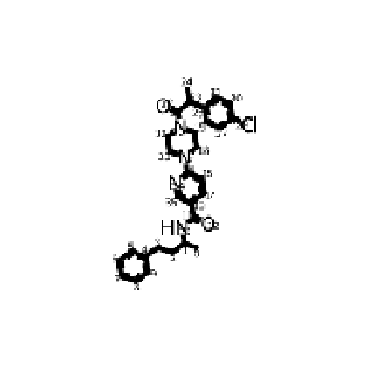 CC(CCc1ccccc1)NC(=O)c1ccc(N2CCN(C(=O)C(C)c3ccc(Cl)cc3)CC2)nc1